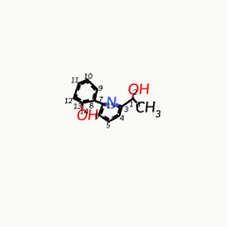 CC(O)c1cccc(-c2ccccc2O)n1